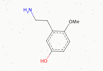 COc1ccc(O)cc1CCN